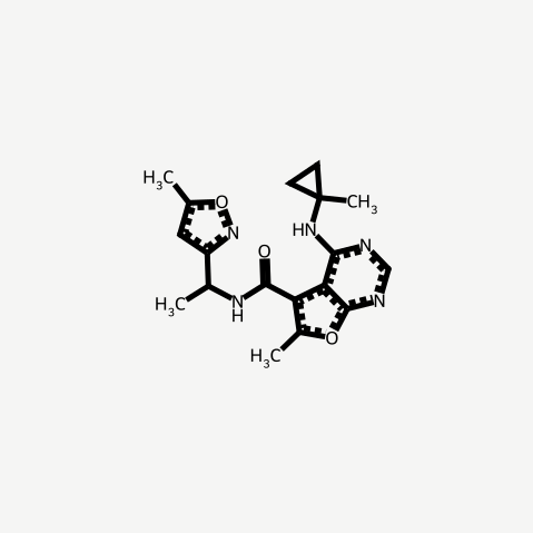 Cc1cc(C(C)NC(=O)c2c(C)oc3ncnc(NC4(C)CC4)c23)no1